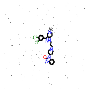 CC(=O)N1CCc2c(c(-c3ccc(Cl)c(Cl)c3)nn2CCCN2CCC(n3c(=O)n(C)c4ccccc43)CC2)C1